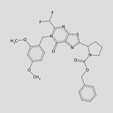 COc1ccc(Cn2c(C(F)F)nc3sc(C4CCCN4C(=O)OCc4ccccc4)nc3c2=O)c(OC)c1